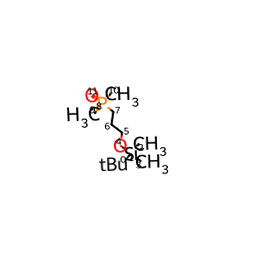 CC(C)(C)[Si](C)(C)OCCCP(C)(C)=O